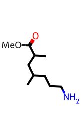 COC(=O)C(C)CC(C)CCCN